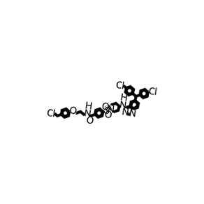 O=C(NCCCOc1ccc(CCl)cc1)c1ccc(S(=O)(=O)N2CCC(Nc3ncnc4ccc(C(c5ccc(Cl)cc5)c5ccc(Cl)cc5)cc34)CC2)cc1